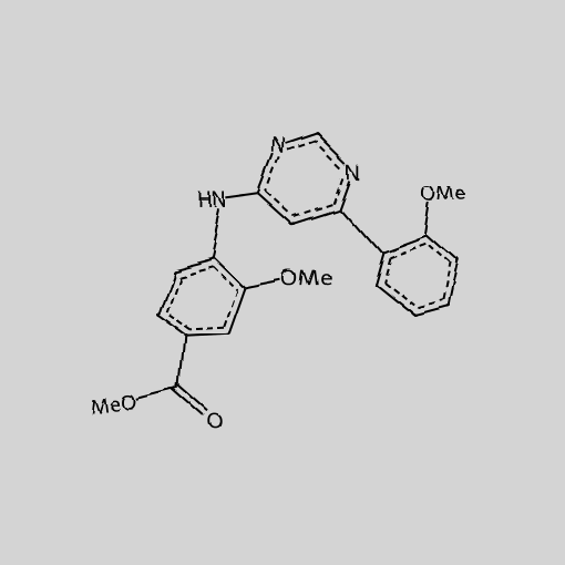 COC(=O)c1ccc(Nc2cc(-c3ccccc3OC)ncn2)c(OC)c1